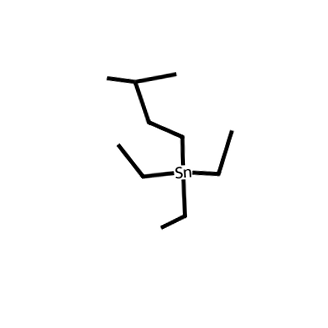 C[CH2][Sn]([CH2]C)([CH2]C)[CH2]CC(C)C